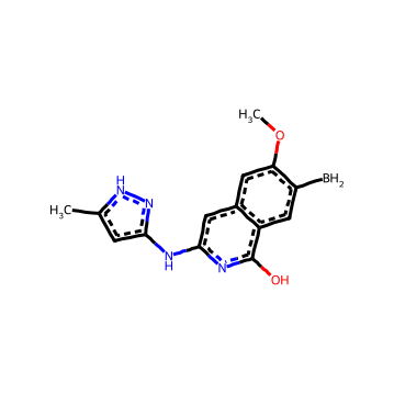 Bc1cc2c(O)nc(Nc3cc(C)[nH]n3)cc2cc1OC